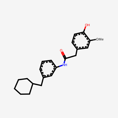 COc1cc(CC(=O)Nc2cccc(CC3CCCCC3)c2)ccc1O